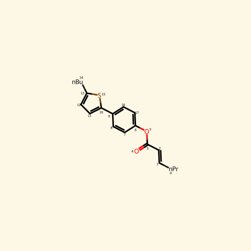 CCCC=CC(=O)Oc1ccc(-c2ccc(CCCC)s2)cc1